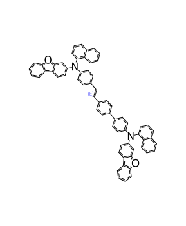 C(=C\c1ccc(N(c2ccc3c(c2)oc2ccccc23)c2cccc3ccccc23)cc1)/c1ccc(-c2ccc(N(c3ccc4c(c3)oc3ccccc34)c3cccc4ccccc34)cc2)cc1